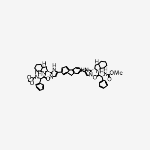 COC(=O)N[C@@H](C(=O)N1[C@@H]2CCCC[C@@H]2C[C@H]1c1ncc(-c2ccc3c(c2)Cc2cc(-c4cnc([C@@H]5C[C@H]6CCCC[C@H]6N5C(=O)[C@H](NC5OCO5)c5ccccc5)[nH]4)ccc2-3)[nH]1)c1ccccc1